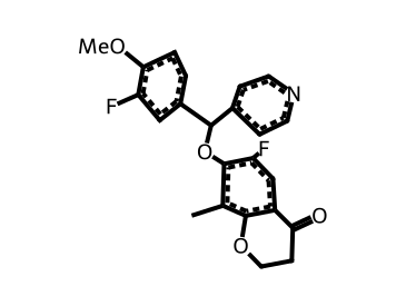 COc1ccc(C(Oc2c(F)cc3c(c2C)OCCC3=O)c2ccncc2)cc1F